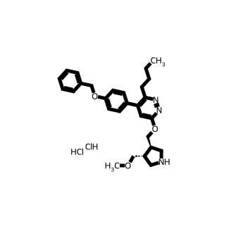 CCCCc1nnc(OC[C@H]2CNC[C@@H]2COC)cc1-c1ccc(OCc2ccccc2)cc1.Cl.Cl